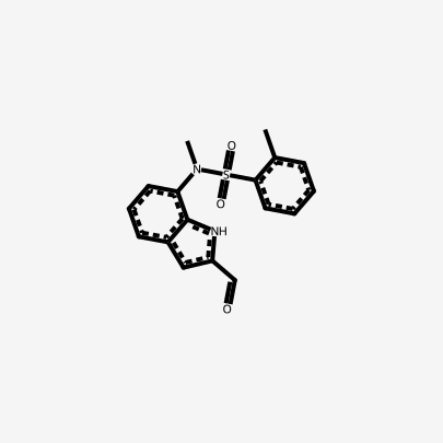 Cc1ccccc1S(=O)(=O)N(C)c1cccc2cc(C=O)[nH]c12